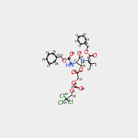 CC(C)=C(C(=O)OCc1ccccc1)N1C(=O)[C@H](NC(=O)OCc2ccccc2)[C@@H]1OC(=O)COC(=O)OCC(Cl)(Cl)Cl